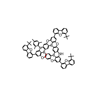 Cc1cc(C)c(N2c3cc4c(cc3B3c5ccccc5Oc5cc(-c6cccc7c6oc6c(C(C)(C)C)cccc67)cc2c53)B2c3cc5c(cc3Oc3cc(-c6cccc7c6oc6c(C(C)(C)C)cccc67)cc(c32)O4)Nc2cc(-c3cccc4c3oc3c(C(C)(C)C)cccc34)cc3c2B5c2ccccc2O3)c(C)c1